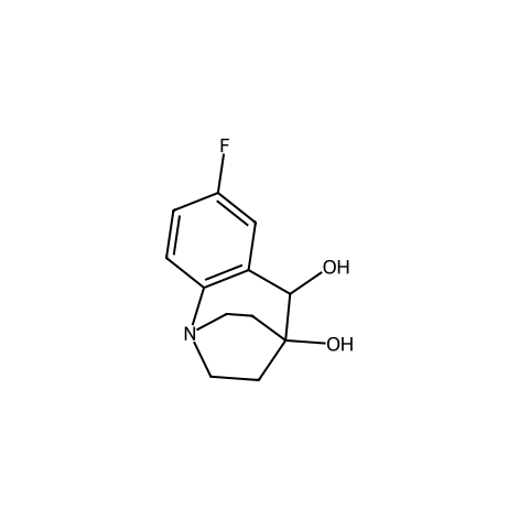 OC1c2cc(F)ccc2N2CCC1(O)CC2